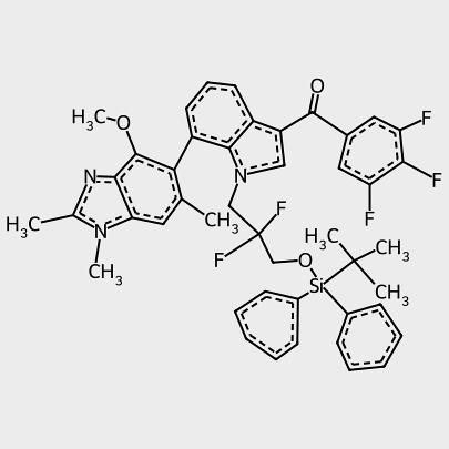 COc1c(-c2cccc3c(C(=O)c4cc(F)c(F)c(F)c4)cn(CC(F)(F)CO[Si](c4ccccc4)(c4ccccc4)C(C)(C)C)c23)c(C)cc2c1nc(C)n2C